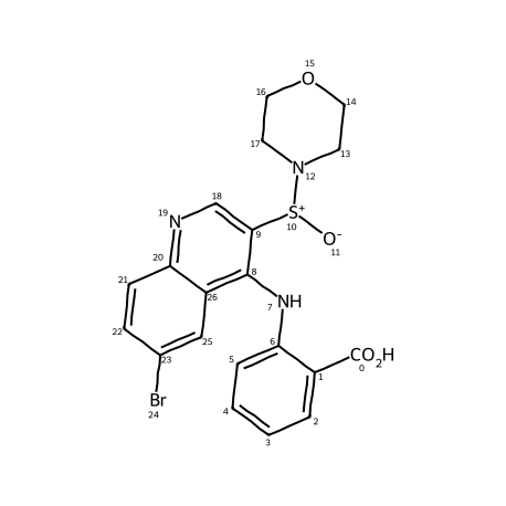 O=C(O)c1ccccc1Nc1c([S+]([O-])N2CCOCC2)cnc2ccc(Br)cc12